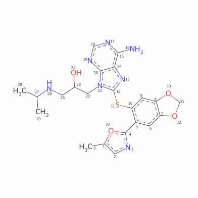 Cc1cnc(-c2cc3c(cc2Sc2nc4c(N)ncnc4n2CC(O)CNC(C)C)OCO3)o1